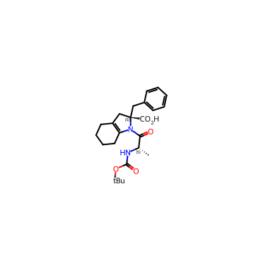 C[C@H](NC(=O)OC(C)(C)C)C(=O)N1C2=C(CCCC2)C[C@@]1(Cc1ccccc1)C(=O)O